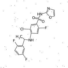 CC(Nc1cc(F)c(S(=O)(=O)Nc2ncco2)cc1Cl)c1cc(F)ccc1F